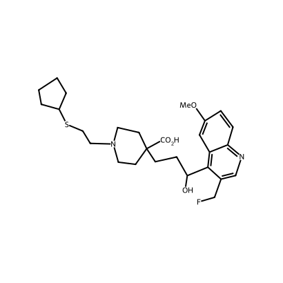 COc1ccc2ncc(CF)c(C(O)CCC3(C(=O)O)CCN(CCSC4CCCC4)CC3)c2c1